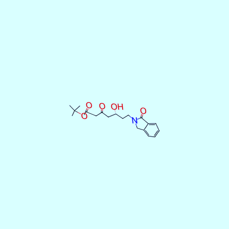 CC(C)(C)OC(=O)CC(=O)C[C@H](O)CCN1Cc2ccccc2C1=O